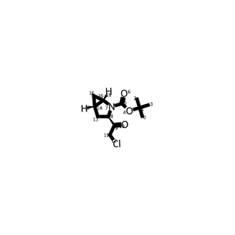 CC(C)(C)OC(=O)N1[C@@H](C(=O)CCl)C[C@@H]2C[C@@H]21